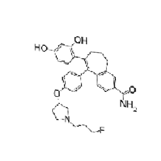 NC(=O)c1ccc2c(c1)CCCC(c1ccc(O)cc1O)=C2c1ccc(O[C@H]2CCN(CCCF)C2)cc1